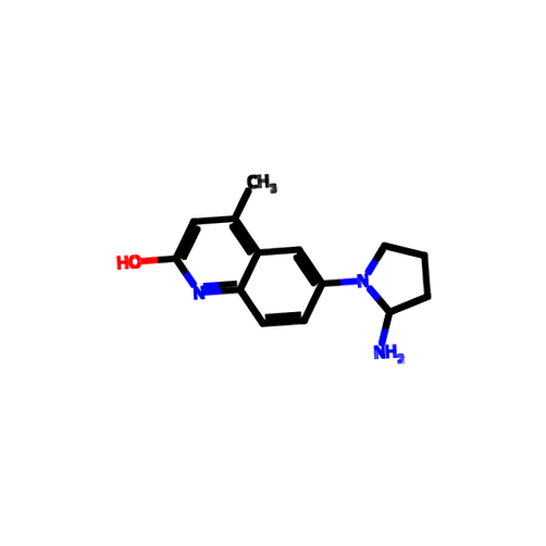 Cc1cc(O)nc2ccc(N3CCCC3N)cc12